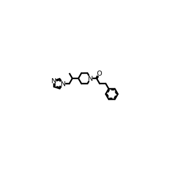 CC(Cn1ccnc1)C1CCN(C(=O)CCc2ccccc2)CC1